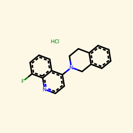 Cl.Fc1cccc2c(N3CCc4ccccc4C3)ccnc12